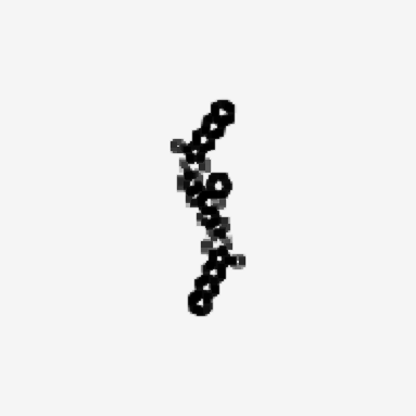 O=c1c(=Nc2nc3sc4c(c3s2)OC2(CCCCC2)c2c-4sc3nc(N=c4c(=O)c5cc6cc7ccccc7cc6cc5c4=O)sc23)c(=O)c2cc3cc4ccccc4cc3cc12